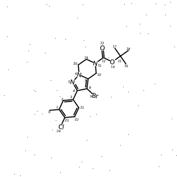 Cc1cc(-c2nn3c(c2Br)CN(C(=O)OC(C)(C)C)CC3)ccc1Cl